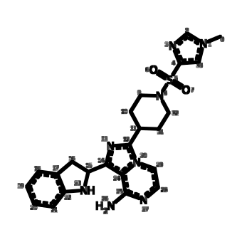 Cn1cnc(S(=O)(=O)N2CCC(c3nc(C4Cc5ccccc5N4)c4c(N)nccn34)CC2)c1